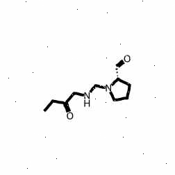 CCC(=O)CNCN1CCC[C@H]1C=O